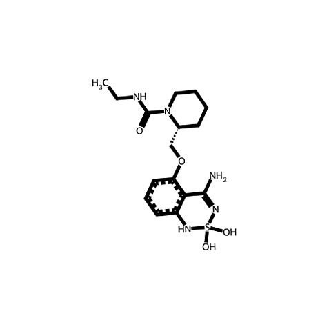 CCNC(=O)N1CCCC[C@@H]1COc1cccc2c1C(N)=NS(O)(O)N2